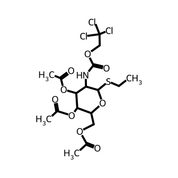 CCSC1OC(COC(C)=O)C(OC(C)=O)C(OC(C)=O)C1NC(=O)OCC(Cl)(Cl)Cl